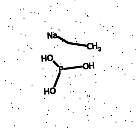 C[CH2][Na].OP(O)O